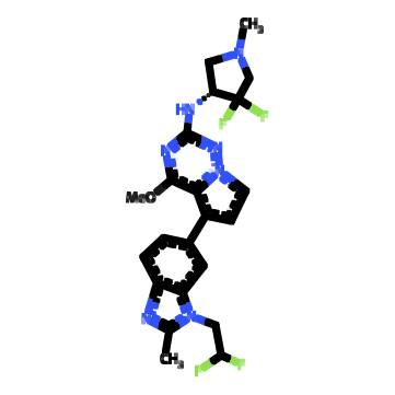 COc1nc(N[C@@H]2CN(C)CC2(F)F)nn2ccc(-c3ccc4nc(C)n(CC(F)F)c4c3)c12